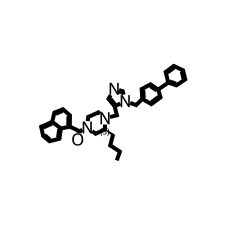 CCCC[C@H]1CN(C(=O)c2cccc3ccccc23)CCN1Cc1cncn1Cc1ccc(-c2ccccc2)cc1